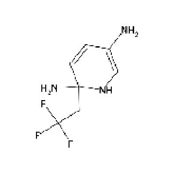 NC1=CNC(N)(CC(F)(F)F)C=C1